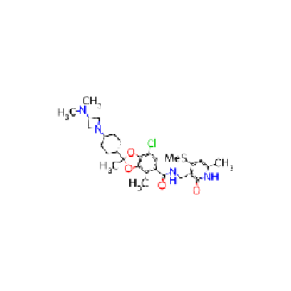 CSc1cc(C)[nH]c(=O)c1CNC(=O)c1cc(Cl)c2c(c1C)O[C@](C)([C@H]1CC[C@H](N3CC(N(C)C)C3)CC1)O2